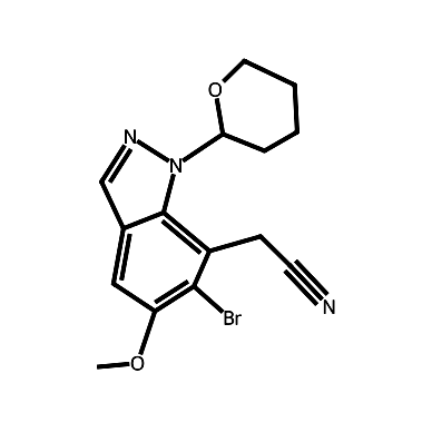 COc1cc2cnn(C3CCCCO3)c2c(CC#N)c1Br